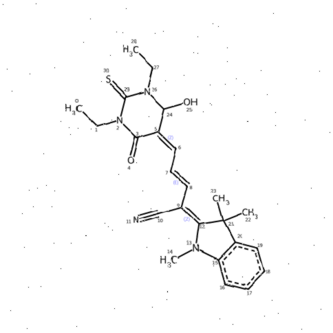 CCN1C(=O)\C(=C/C=C/C(C#N)=C2/N(C)c3ccccc3C2(C)C)C(O)N(CC)C1=S